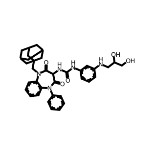 O=C(Nc1cccc(NCC(O)CO)c1)NC1C(=O)N(CC23CC4CC(CC(C4)C2)C3)c2ccccc2N(c2ccccc2)C1=O